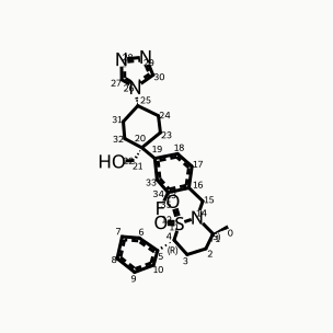 C[C@H]1CC[C@H](c2ccccc2)S(=O)(=O)N1Cc1ccc([C@]2(CO)CC[C@@H](n3cnnc3)CC2)cc1F